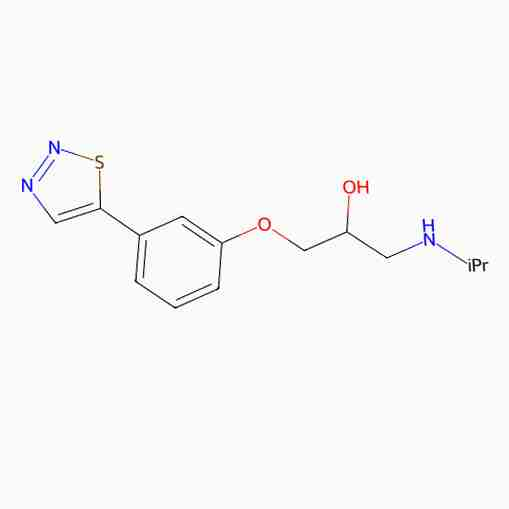 CC(C)NCC(O)COc1cccc(-c2cnns2)c1